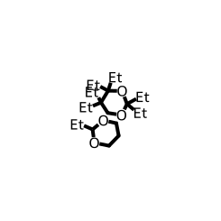 CCC1(CC)OCC(CC)(CC)C(CC)(CC)O1.CCC1OCCCO1